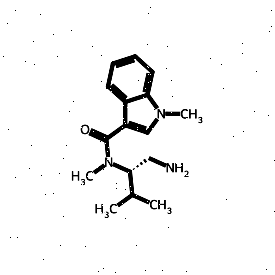 CC(C)[C@@H](CN)N(C)C(=O)c1cn(C)c2ccccc12